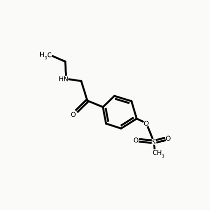 CCNCC(=O)c1ccc(OS(C)(=O)=O)cc1